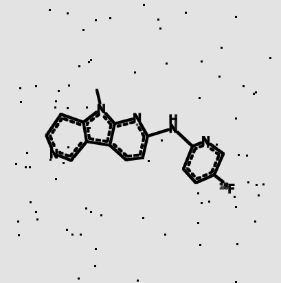 Cn1c2ccncc2c2ccc(Nc3ccc([18F])cn3)nc21